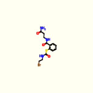 NC(=O)CCNC(=O)c1ccccc1SC(=O)NCCBr